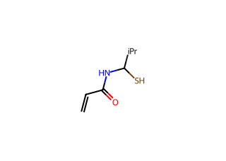 C=CC(=O)NC(S)C(C)C